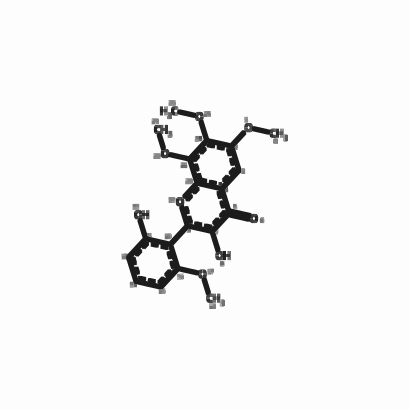 COc1cc2c(=O)c(O)c(-c3c(O)cccc3OC)oc2c(OC)c1OC